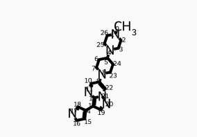 CN1CCN(C2CCN(c3cnc4c(C5=CCN=C5)cnn4c3)CC2)CC1